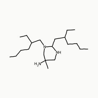 CCCCC(CC)CC1NCC(C)(N)CN1CC(CC)CCCC